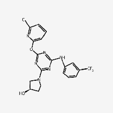 O[C@@H]1CCN(c2nc(Nc3cccc(C(F)(F)F)c3)nc(Oc3cccc(Cl)n3)n2)C1